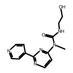 CN(C(=O)NCCO)c1ccnc(-c2ccncc2)n1